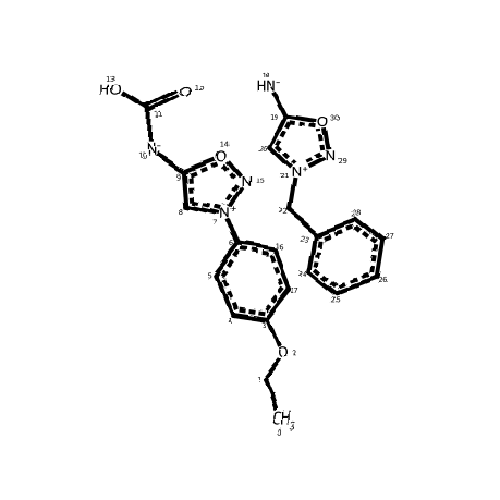 CCOc1ccc(-[n+]2cc([N-]C(=O)O)on2)cc1.[NH-]c1c[n+](Cc2ccccc2)no1